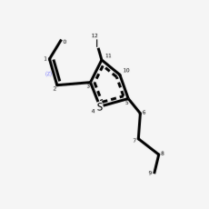 C/C=C\c1sc(CCCC)cc1I